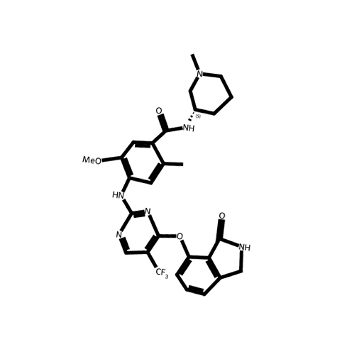 COc1cc(C(=O)N[C@H]2CCCN(C)C2)c(C)cc1Nc1ncc(C(F)(F)F)c(Oc2cccc3c2C(=O)NC3)n1